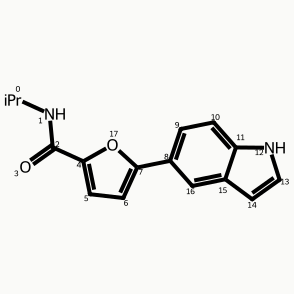 CC(C)NC(=O)c1ccc(-c2ccc3[nH]ccc3c2)o1